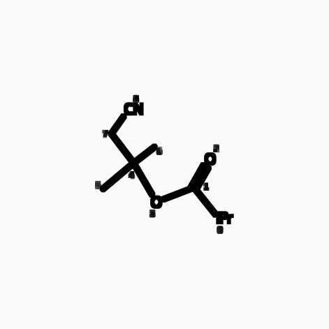 CC(C)C(=O)OC(C)(C)CC#N